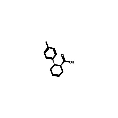 Cc1ccc([C@H]2CC=CC[C@@H]2C(=O)O)cc1